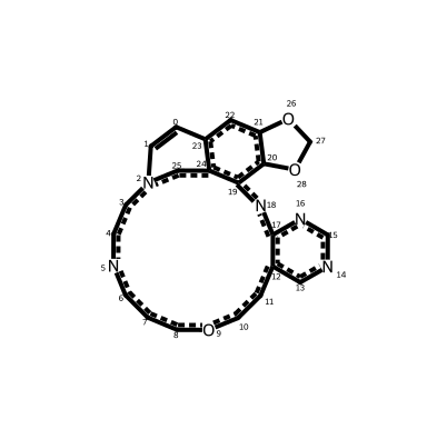 C1=Cn2ccncccoccc3cncnc3nc3c4c(cc1c3c2)OCO4